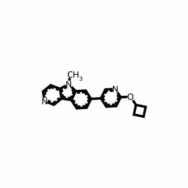 Cn1c2ccncc2c2ccc(-c3ccc(OC4CCC4)nc3)cc21